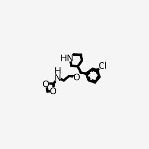 Clc1cccc(C(OCCNC2OCO2)C2CCCNC2)c1